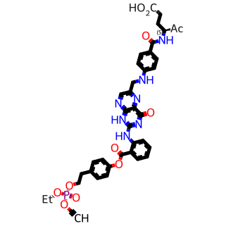 C#COP(=O)(OCC)OCCc1ccc(OC(=O)c2ccccc2Nc2nc(=O)c3nc(CNc4ccc(C(=O)N[C@@H](CCC(=O)O)C(C)=O)cc4)cnc3[nH]2)cc1